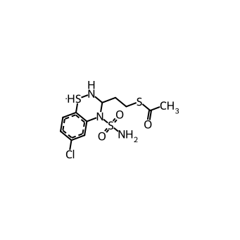 CC(=O)SCCC1N[SH]c2ccc(Cl)cc2N1S(N)(=O)=O